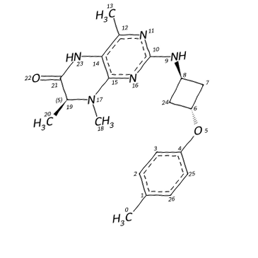 Cc1ccc(O[C@H]2C[C@H](Nc3nc(C)c4c(n3)N(C)[C@@H](C)C(=O)N4)C2)cc1